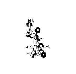 CC(C)C[C@H](NC(=O)[C@H](Cc1ccccc1)N1C(=O)[C@@H](NC(=O)[C@H](CCc2ccccc2)NC(=O)Cc2csc(OC(=O)N3CCN(C)CC3)n2)CC1C)C(=O)C1(C)CO1